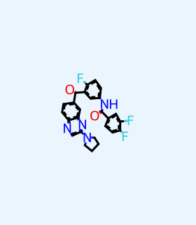 O=C(Nc1ccc(F)c(C(=O)c2ccc3ncc(N4CCCC4)nc3c2)c1)c1ccc(F)c(F)c1